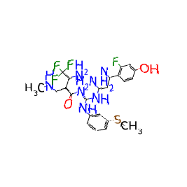 CNCC(C(=O)/N=C(\Nc1cccc(SC)c1)NC(N)CC(N)c1ccc(O)cc1F)C(N)C(F)(F)F